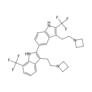 FC(F)(F)c1[nH]c2ccc(-c3[nH]c4c(C(F)(F)F)cccc4c3CCN3CCC3)cc2c1CCN1CCC1